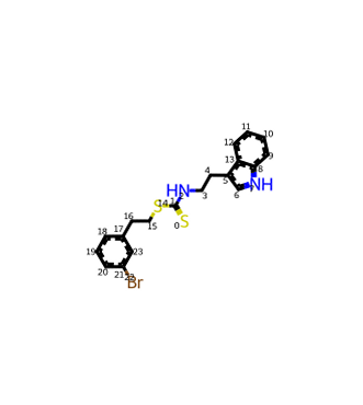 S=C(NCCc1c[nH]c2ccccc12)SCCc1cccc(Br)c1